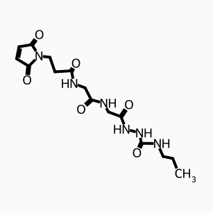 CCCNC(=O)NNC(=O)CNC(=O)CNC(=O)CCN1C(=O)C=CC1=O